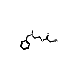 CN(CCOC(=O)CC(C)(C)C)Cc1ccccc1